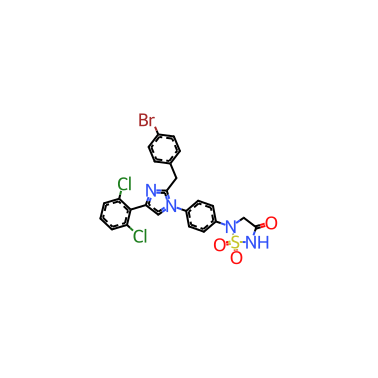 O=C1CN(c2ccc(-n3cc(-c4c(Cl)cccc4Cl)nc3Cc3ccc(Br)cc3)cc2)S(=O)(=O)N1